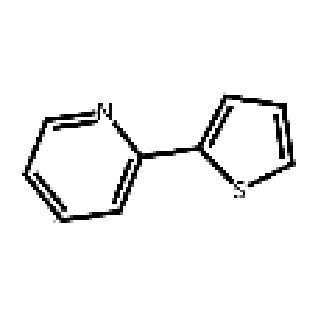 [c]1ccnc(-c2cccs2)c1